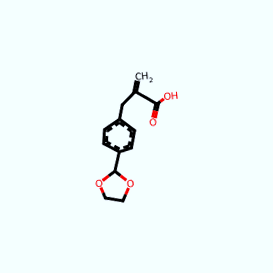 C=C(Cc1ccc(C2OCCO2)cc1)C(=O)O